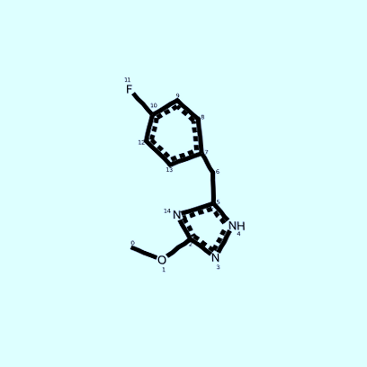 COc1n[nH]c([CH]c2ccc(F)cc2)n1